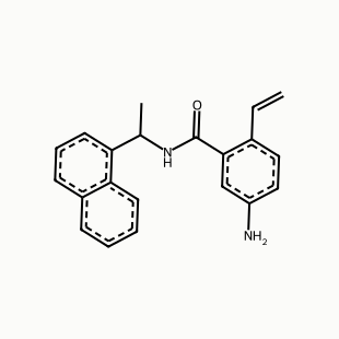 C=Cc1ccc(N)cc1C(=O)NC(C)c1cccc2ccccc12